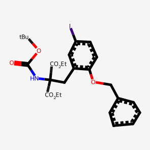 CCOC(=O)C(Cc1cc(I)ccc1OCc1ccccc1)(NC(=O)OC(C)(C)C)C(=O)OCC